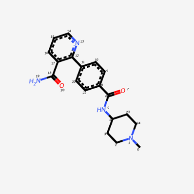 CN1CCC(NC(=O)c2ccc(-c3ncccc3C(N)=O)cc2)CC1